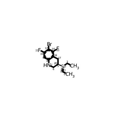 CC[SiH](CC)[C@H]1CNc2cc(F)c(Br)c(F)c2C1